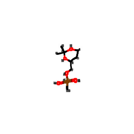 CC1(C)OCCC(COS(C)(=O)=O)O1